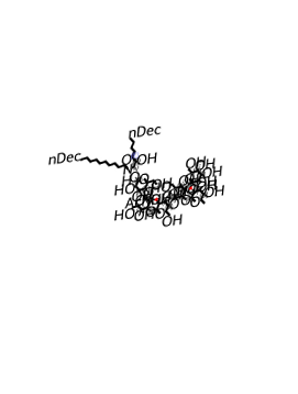 CCCCCCCCCCCCC/C=C/[C@@H](O)[C@H](CO[C@@H]1OC(CO)[C@@H](O[C@@H]2OC(CO)[C@H](O)[C@H](O[C@@H]3OC(CO)[C@@H](O[C@@H]4OC(CO)[C@H](O)[C@H](O[C@H]5OC(CO)[C@H](O)[C@H](O)C5O)C4O[C@H]4OC(C)[C@@H](O)C(O)[C@@H]4O)[C@H](O)C3NC(C)=O)C2O)[C@H](O)C1O)NC(=O)CCCCCCCCCCCCCCCCCCC